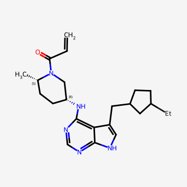 C=CC(=O)N1C[C@H](Nc2ncnc3[nH]cc(CC4CCC(CC)C4)c23)CC[C@@H]1C